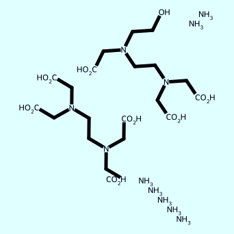 N.N.N.N.N.N.N.O=C(O)CN(CCN(CC(=O)O)CC(=O)O)CC(=O)O.O=C(O)CN(CCO)CCN(CC(=O)O)CC(=O)O